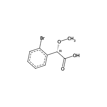 CO[C@H](C(=O)O)c1ccccc1Br